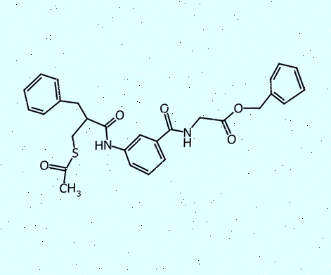 CC(=O)SCC(Cc1ccccc1)C(=O)Nc1cccc(C(=O)NCC(=O)OCc2ccccc2)c1